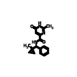 Cc1nc(C(=O)N[C@@H](c2ccccc2)C2(C)CC2)cc(=O)[nH]1